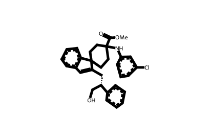 COC(=O)C1(Nc2cccc(Cl)c2)CCC2(CC1)C(C[C@@H](CO)c1ccccc1)=Cc1ccccc12